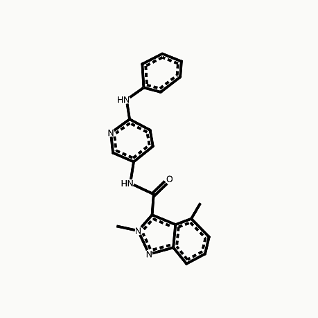 Cc1cccc2nn(C)c(C(=O)Nc3ccc(Nc4ccccc4)nc3)c12